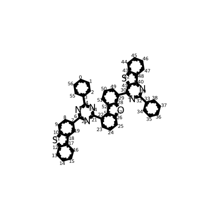 c1ccc(-c2nc(-c3ccc4sc5ccccc5c4c3)nc(-c3cccc4oc5c(-c6nc(-c7ccccc7)nc7c6sc6ccccc67)cccc5c34)n2)cc1